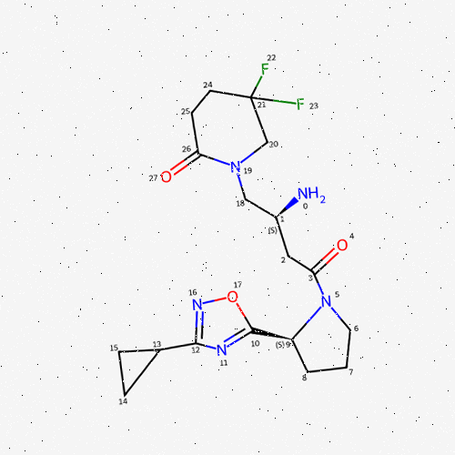 N[C@@H](CC(=O)N1CCC[C@H]1c1nc(C2CC2)no1)CN1CC(F)(F)CCC1=O